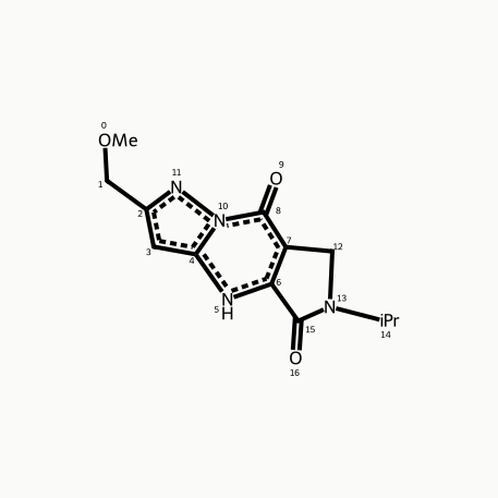 COCc1cc2[nH]c3c(c(=O)n2n1)CN(C(C)C)C3=O